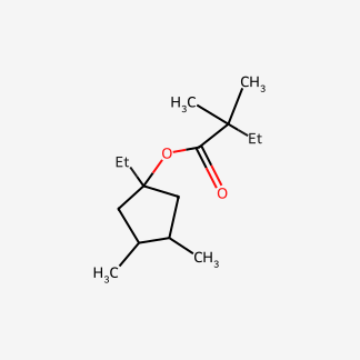 CCC1(OC(=O)C(C)(C)CC)CC(C)C(C)C1